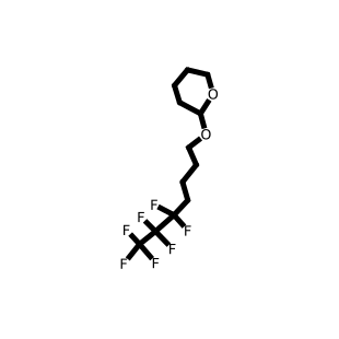 FC(F)(F)C(F)(F)C(F)(F)CCCCOC1CCCCO1